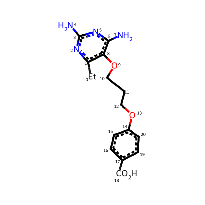 CCc1nc(N)nc(N)c1OCCCOc1ccc(C(=O)O)cc1